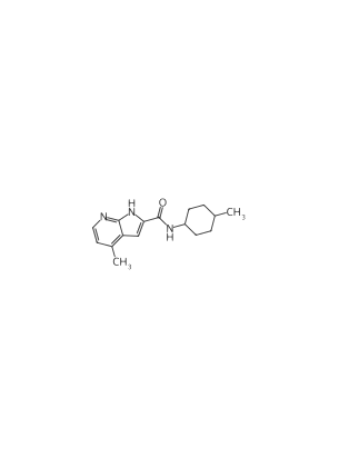 Cc1ccnc2[nH]c(C(=O)NC3CCC(C)CC3)cc12